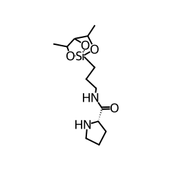 CC1O[Si]2(CCCNC(=O)[C@@H]3CCCN3)OC(C)C1O2